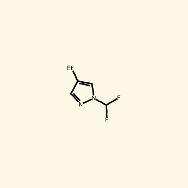 CCc1cnn(C(F)F)c1